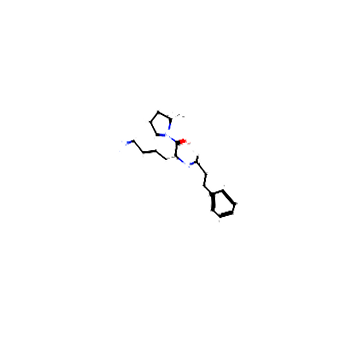 CCOC(=O)C(CCc1ccccc1)N[C@@H](CCCCN)C(=O)N1CCC[C@H]1C(=O)O